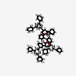 N#Cc1cccc(-n2c3ccccc3c3cc(-c4nc(-c5ccccc5)nc(-c5ccccc5)n4)ccc32)c1-c1cc(-c2nc(-c3ccccc3)nc(-c3ccccc3)n2)ccc1-n1c2ccccc2c2cc(-c3nc(-c4ccccc4)nc(-c4ccccc4)n3)ccc21